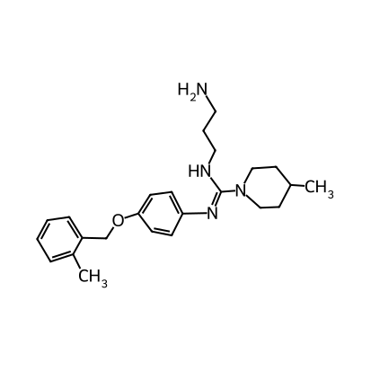 Cc1ccccc1COc1ccc(/N=C(\NCCCN)N2CCC(C)CC2)cc1